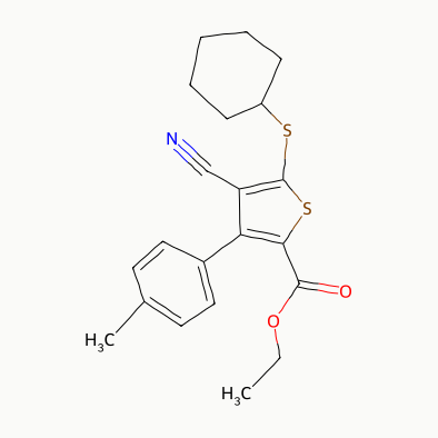 CCOC(=O)c1sc(SC2CCCCC2)c(C#N)c1-c1ccc(C)cc1